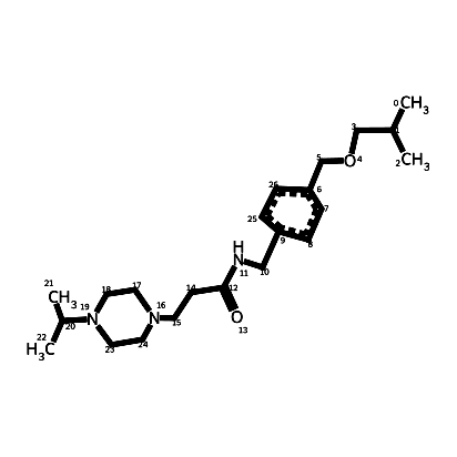 CC(C)COCc1ccc(CNC(=O)CCN2CCN(C(C)C)CC2)cc1